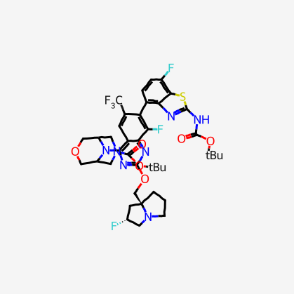 CC(C)(C)OC(=O)Nc1nc2c(-c3c(C(F)(F)F)cc4c(N5C6COCC5CN(C(=O)OC(C)(C)C)C6)nc(OC[C@@]56CCCN5C[C@H](F)C6)nc4c3F)ccc(F)c2s1